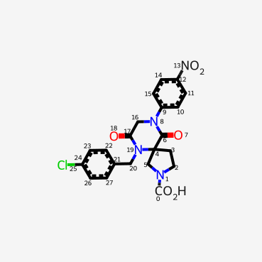 O=C(O)N1CCC2(C1)C(=O)N(c1ccc([N+](=O)[O-])cc1)CC(=O)N2Cc1ccc(Cl)cc1